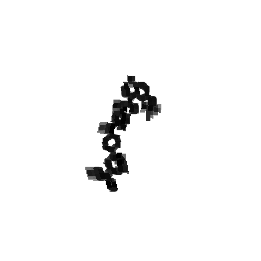 CO[C@H](C(=O)Nc1nnc(N[C@H]2CC[C@H](c3cc(C(=O)O)cnn3)CC2)s1)c1cc(OC(F)(F)F)ccc1F